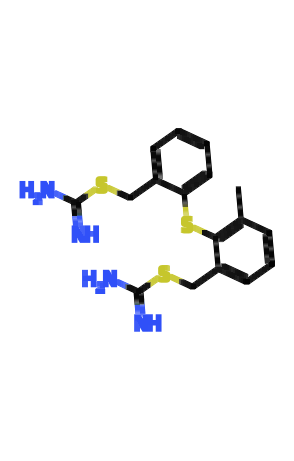 Cc1cccc(CSC(=N)N)c1Sc1ccccc1CSC(=N)N